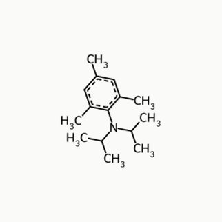 Cc1cc(C)c(N(C(C)C)C(C)C)c(C)c1